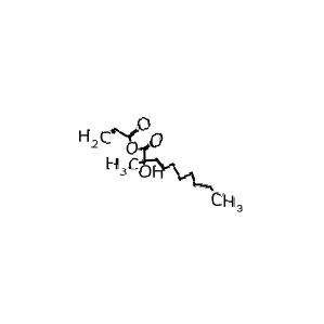 C=CC(=O)OC(=O)C(C)(O)CCCCCCCC